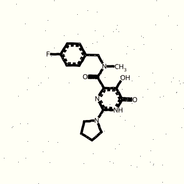 CN(Cc1ccc(F)cc1)C(=O)c1nc(N2CCCC2)[nH]c(=O)c1O